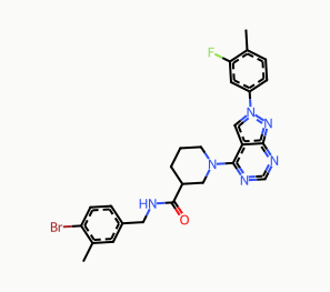 Cc1ccc(-n2cc3c(N4CCCC(C(=O)NCc5ccc(Br)c(C)c5)C4)ncnc3n2)cc1F